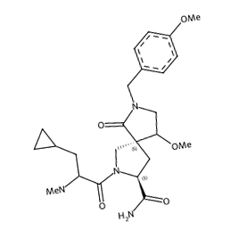 CNC(CC1CC1)C(=O)N1C[C@]2(C[C@H]1C(N)=O)C(=O)N(Cc1ccc(OC)cc1)CC2OC